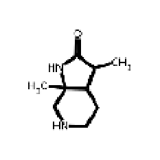 CC1C(=O)NC2(C)CNCCC12